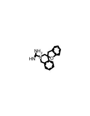 N=C(N)N1Cc2ccccc2C2(Cc3ccccc3O2)C1